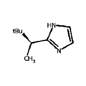 C[C@H](c1ncc[nH]1)C(C)(C)C